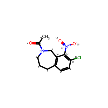 CC(=O)N1CCCc2ccc(Cl)c([N+](=O)[O-])c2C1